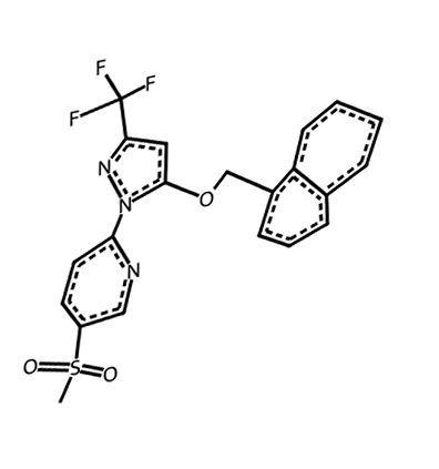 CS(=O)(=O)c1ccc(-n2nc(C(F)(F)F)cc2OCc2cccc3ccccc23)nc1